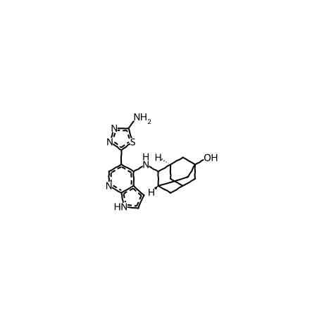 Nc1nnc(-c2cnc3[nH]ccc3c2NC2[C@@H]3CC4C[C@H]2CC(O)(C4)C3)s1